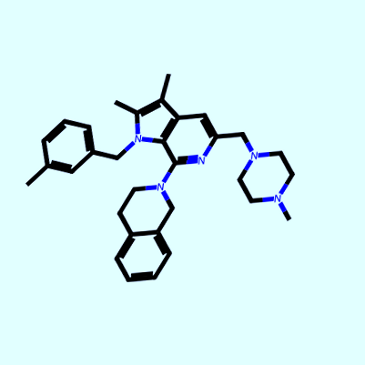 Cc1cccc(Cn2c(C)c(C)c3cc(CN4CCN(C)CC4)nc(N4CCc5ccccc5C4)c32)c1